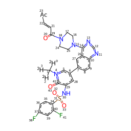 [2H]C([2H])([2H])n1cc(-c2ccc3ncnc(N4CCN(C(=O)/C=C/C(C)=O)CC4)c3c2)cc(NS(=O)(=O)c2ccc(F)cc2F)c1=O